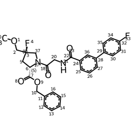 COC[C@@]1(F)C[C@@H](C(=O)OCc2ccccc2)N(C(=O)CNC(=O)c2cccc(-c3ccc(F)cc3)c2)C1